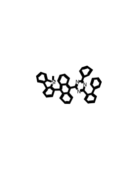 C[Si]1(C)c2ccccc2-c2cccc(-c3c4ccccc4c(-c4nc(-c5ccccc5)nc(-c5ccccc5-c5ccccc5)n4)c4ccccc34)c21